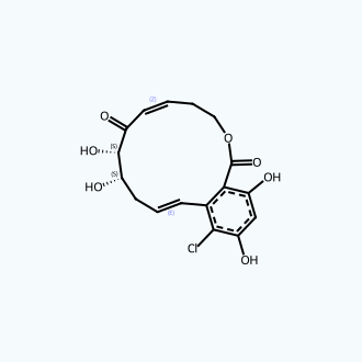 O=C1OCC/C=C\C(=O)[C@@H](O)[C@@H](O)C/C=C/c2c(Cl)c(O)cc(O)c21